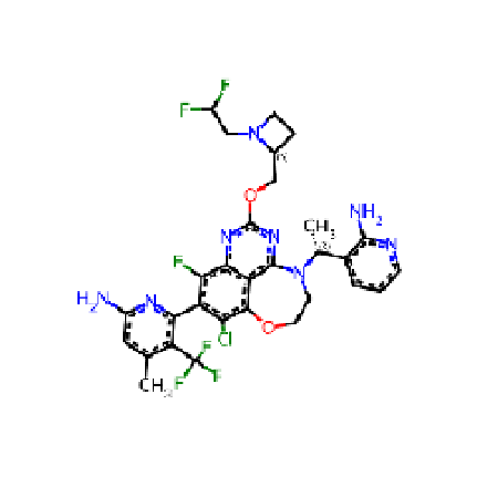 Cc1cc(N)nc(-c2c(Cl)c3c4c(nc(OC[C@@H]5CCN5CC(F)F)nc4c2F)N([C@H](C)c2cccnc2N)CCO3)c1C(F)(F)F